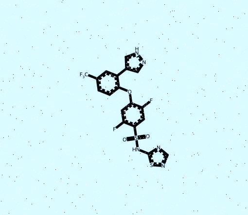 O=S(=O)(Nc1ncns1)c1cc(F)c(Oc2ccc(C(F)(F)F)cc2-c2cn[nH]c2)cc1F